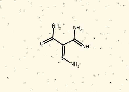 N=C(N)/C(=C\N)C(N)=O